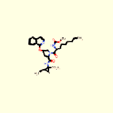 C=CCCCCCC(NC(=O)OC(C)(C)C)C(=O)N1CC(Oc2nccc3ccccc23)CC1C(=O)NC1(C(=O)OCC)CC1C=C